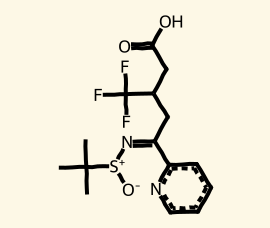 CC(C)(C)[S+]([O-])/N=C(/CC(CC(=O)O)C(F)(F)F)c1ccccn1